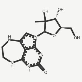 CC1(O)C(n2cc3c4c([nH]c(=O)nc42)NCCN3)O[C@H](CO)[C@H]1O